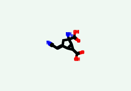 N#CC=C1CC(N)(C(=O)O)C2C(C(=O)O)C12